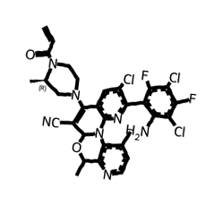 C=CC(=O)N1CCN(C2=C(C#N)C3OC(C)c4nccc(C)c4N3c3nc(-c4c(N)c(Cl)c(F)c(Cl)c4F)c(Cl)cc32)C[C@H]1C